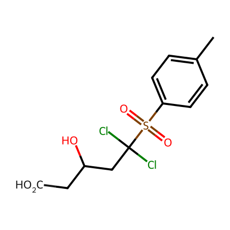 Cc1ccc(S(=O)(=O)C(Cl)(Cl)CC(O)CC(=O)O)cc1